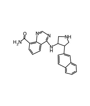 NC(=O)c1cccc2c(NC3CNCC3c3ccc4ccccc4c3)ncnc12